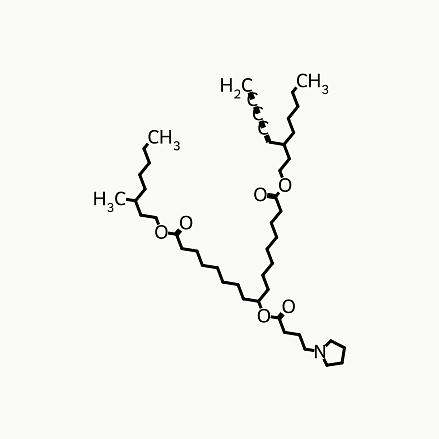 C=C=C=C=CC(CCCCC)CCOC(=O)CCCCCCCC(CCCCCCCC(=O)OCCC(C)CCCCC)OC(=O)CCCN1CCCC1